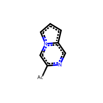 CC(=O)c1cn2cccc2cn1